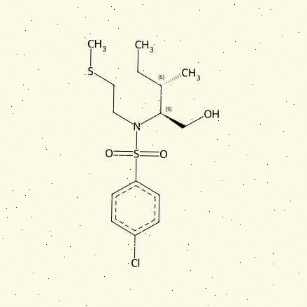 CC[C@H](C)[C@@H](CO)N(CCSC)S(=O)(=O)c1ccc(Cl)cc1